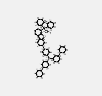 CC1(c2cccc3c2oc2cc(-c4ccc(N(c5ccc(-c6ccccc6)cc5)c5cccc(-c6ccccc6)c5)cc4)ccc23)c2ccccc2-c2ccccc21